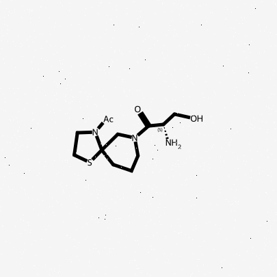 CC(=O)N1CCSC12CCCN(C(=O)[C@@H](N)CO)C2